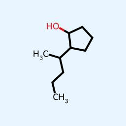 CCCC(C)C1CCCC1O